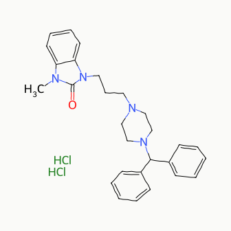 Cl.Cl.Cn1c(=O)n(CCCN2CCN(C(c3ccccc3)c3ccccc3)CC2)c2ccccc21